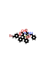 O=C(Cc1ccccc1)N[C@@H]1C(=O)N2C(C(=O)O)=C(COc3ccc(CBr)cc3)C(C(c3ccccc3)c3ccccc3)[S@+]([O-])[C@H]12